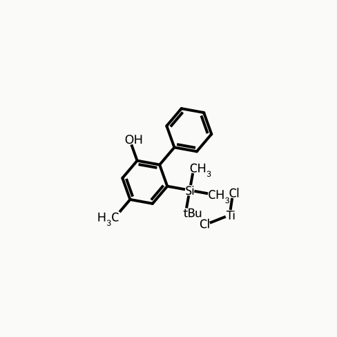 Cc1cc(O)c(-c2ccccc2)c([Si](C)(C)C(C)(C)C)c1.[Cl][Ti][Cl]